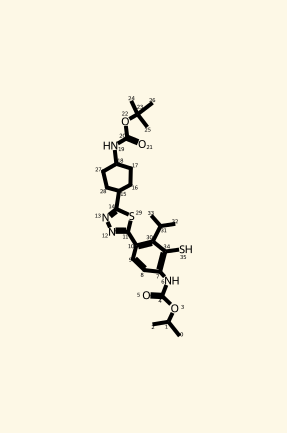 CC(C)OC(=O)Nc1ccc(-c2nnc(C3CCC(NC(=O)OC(C)(C)C)CC3)s2)c(C(C)C)c1S